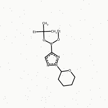 CCOB(OC(C)(C)CC)c1cnn(C2CCCCO2)n1